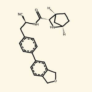 N#C[C@H](Cc1ccc(-c2ccc3c(c2)COC3)cc1)NC(=O)[C@H]1N[C@@H]2CC[C@H]1C2